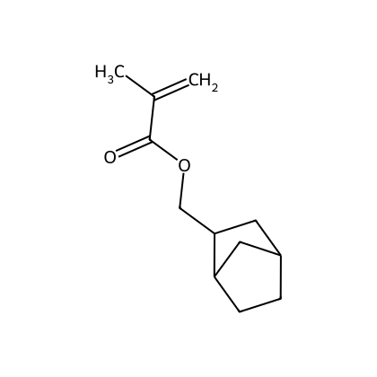 C=C(C)C(=O)OCC1CC2CCC1C2